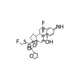 C[C@]12C=CC(=N)C=C1[C@@H](F)CC1C3CC[C@](OC(=O)c4ccco4)(C(=O)SCF)[C@@]3(C)C[C@H](O)[C@@]12F